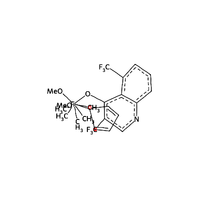 C[O][Ti]([CH3])([CH3])([CH3])([CH3])([CH3])([O]C)([O]c1c(C(F)(F)F)cnc2cccc(C(F)(F)F)c12)[CH]1C=CC=C1